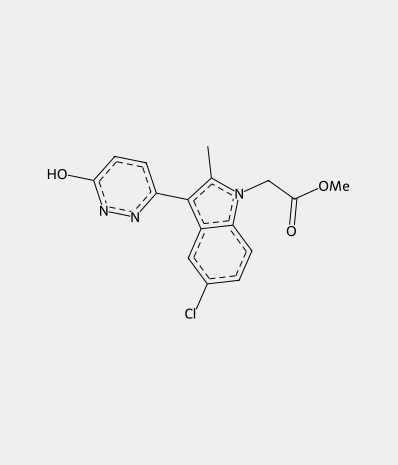 COC(=O)Cn1c(C)c(-c2ccc(O)nn2)c2cc(Cl)ccc21